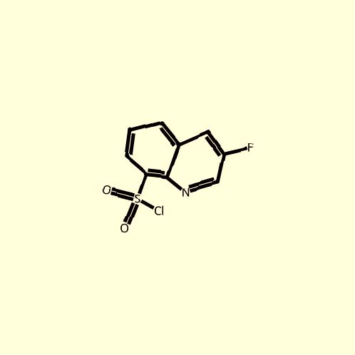 O=S(=O)(Cl)c1cccc2cc(F)cnc12